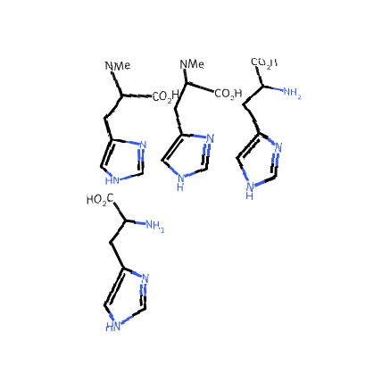 CNC(Cc1c[nH]cn1)C(=O)O.CNC(Cc1c[nH]cn1)C(=O)O.NC(Cc1c[nH]cn1)C(=O)O.NC(Cc1c[nH]cn1)C(=O)O